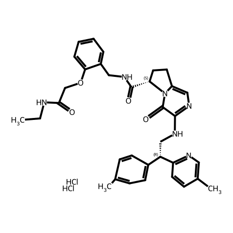 CCNC(=O)COc1ccccc1CNC(=O)[C@@H]1CCc2cnc(NC[C@@H](c3ccc(C)cc3)c3ccc(C)cn3)c(=O)n21.Cl.Cl